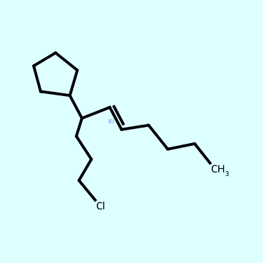 CCCC/C=C/C(CCCCl)C1CCCC1